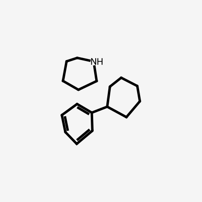 C1CCNCC1.c1ccc(C2CCCCC2)cc1